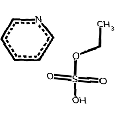 CCOS(=O)(=O)O.c1ccncc1